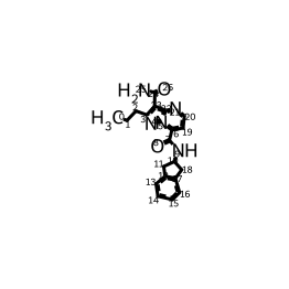 CCCc1nn2c(C(=O)NC3Cc4ccccc4C3)ccnc2c1C(N)=O